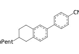 CCCCCC1CCc2cc(-c3ccc(C#N)cc3)ccc2C1